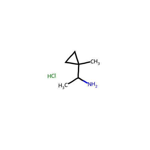 CC(N)C1(C)CC1.Cl